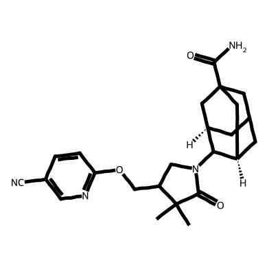 CC1(C)C(=O)N(C2[C@@H]3CC4C[C@@H]2CC(C(N)=O)(C4)C3)CC1COc1ccc(C#N)cn1